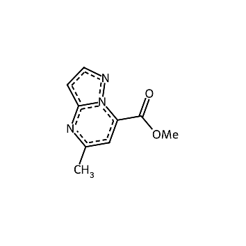 COC(=O)c1cc(C)nc2ccnn12